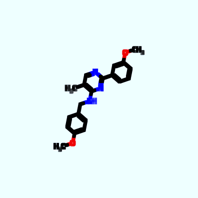 COc1ccc(CNc2nc(-c3cccc(OC)c3)ncc2C)cc1